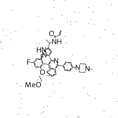 C=CC(=O)NC(C)c1cc(-c2nc(-c3ccc(N4CCN(C)CC4)cc3)c3ccsc3c2-c2c(F)cc(F)cc2OCCOC)n[nH]1